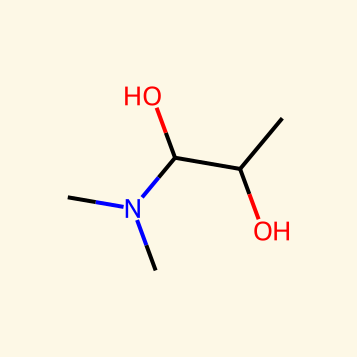 CC(O)C(O)N(C)C